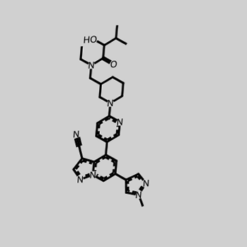 CCN(CC1CCCN(c2ccc(-c3cc(-c4cnn(C)c4)cn4ncc(C#N)c34)cn2)C1)C(=O)C(O)C(C)C